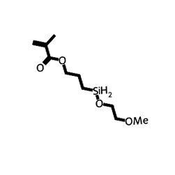 C=C(C)C(=O)OCCC[SiH2]OCCOC